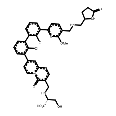 COc1nc(-c2cccc(-c3cccc(-c4ccn5c(=O)c(CN[C@H](CO)C(=O)O)cnc5c4)c3Cl)c2Cl)ccc1CNCC1CCC(=O)N1